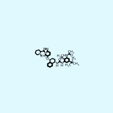 COc1c(NC(C)=O)cc(C(C)(C)C)cc1NC(=O)N[C@H]1CC[C@@H](Oc2ccc3nnc(C4CCCCN4C)n3c2)c2ccccc21